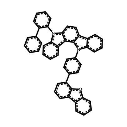 c1ccc(-c2ccccc2-n2c3ccccc3c3c2ccc2c4ccccc4n(-c4ccc(-c5cccc6c5oc5ccccc56)cc4)c23)cc1